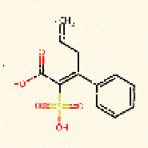 C=CCC(=C(C(=O)O)S(=O)(=O)O)c1ccccc1